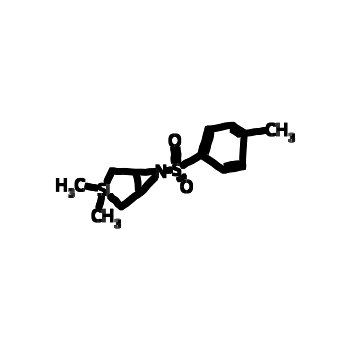 Cc1ccc(S(=O)(=O)N2C3C[Si](C)(C)CC32)cc1